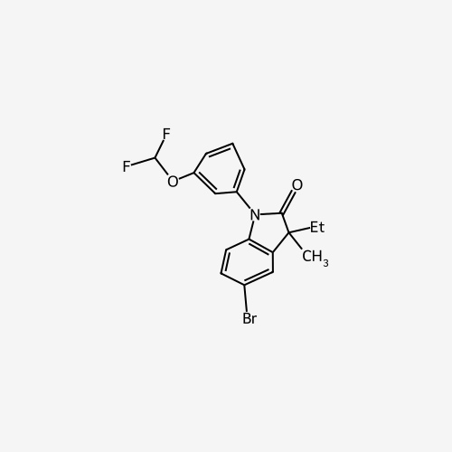 CCC1(C)C(=O)N(c2cccc(OC(F)F)c2)c2ccc(Br)cc21